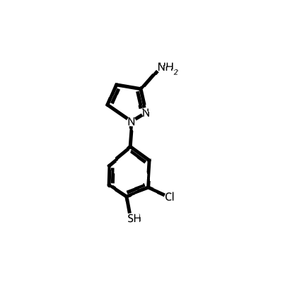 Nc1ccn(-c2ccc(S)c(Cl)c2)n1